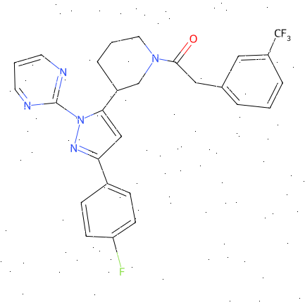 O=C(Cc1cccc(C(F)(F)F)c1)N1CCCC(c2cc(-c3ccc(F)cc3)nn2-c2ncccn2)C1